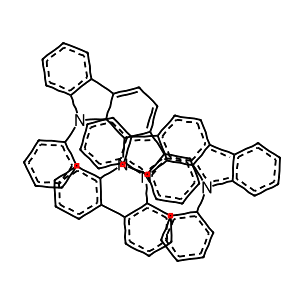 C1=C2c3ccccc3N(c3ccccc3)C2C2C(=C1)c1ccccc1N2c1ccccc1-c1ccccc1-n1c2ccccc2c2ccc3c4ccccc4n(-c4ccccc4)c3c21